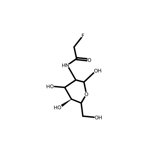 O=C(CF)NC1C(O)OC(CO)[C@@H](O)C1O